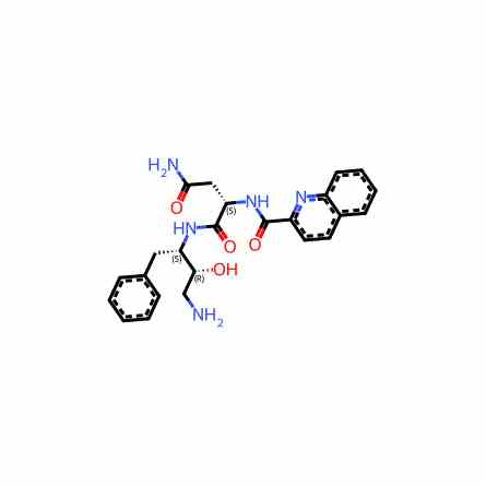 NC[C@@H](O)[C@H](Cc1ccccc1)NC(=O)[C@H](CC(N)=O)NC(=O)c1ccc2ccccc2n1